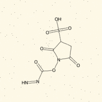 N=NC(=O)ON1C(=O)CC(S(=O)(=O)O)C1=O